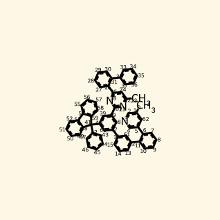 Cc1cncc(-c2ccccc2-c2cccc(-c3cc(-c4nc(C)cc(-c5ccccc5-c5ccccc5)n4)cc(C4(c5ccccc5)c5ccccc5-c5ccccc54)c3)c2)c1